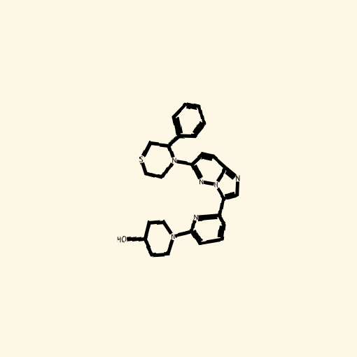 OC1CCN(c2cccc(-c3cnc4ccc(N5CCSCC5c5ccccc5)nn34)n2)CC1